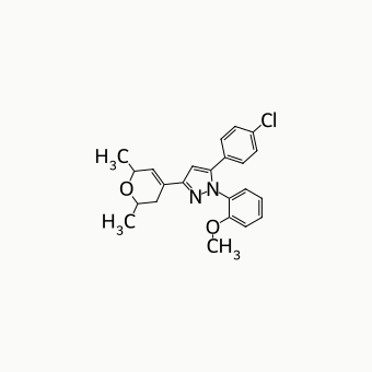 COc1ccccc1-n1nc(C2=CC(C)OC(C)C2)cc1-c1ccc(Cl)cc1